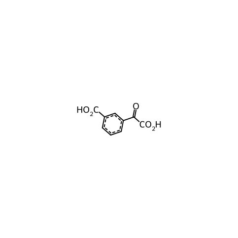 O=C(O)C(=O)c1cccc(C(=O)O)c1